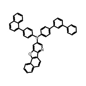 c1ccc(-c2cccc(-c3ccc(N(c4ccc(-c5cccc6ccccc56)cc4)c4cnc5c(c4)oc4c6ccccc6ccc54)cc3)c2)cc1